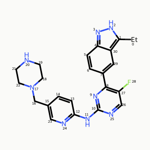 CCc1[nH]nc2ccc(-c3nc(Nc4ccc(CN5CCNCC5)cn4)ncc3F)cc12